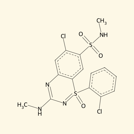 CNC1=Nc2cc(Cl)c(S(=O)(=O)NC)cc2S(=O)(c2ccccc2Cl)=N1